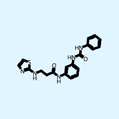 O=C(CCNc1nccs1)Nc1cccc(NC(=O)Nc2ccccc2)c1